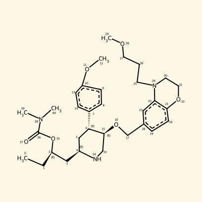 CC[C@H](C[C@H]1C[C@H](c2ccc(OC)cc2)[C@@H](OCc2ccc3c(c2)N(CCCOC)CCO3)CN1)OC(=O)N(C)C